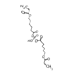 C=CC(=O)OCCCCCC(=O)OP(=O)(O)OC(=O)CCCCCOC(=O)C=C